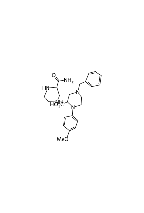 COc1ccc(N2CCN(Cc3ccccc3)CC2C(=O)O)cc1.NC(=O)C1CNCCN1